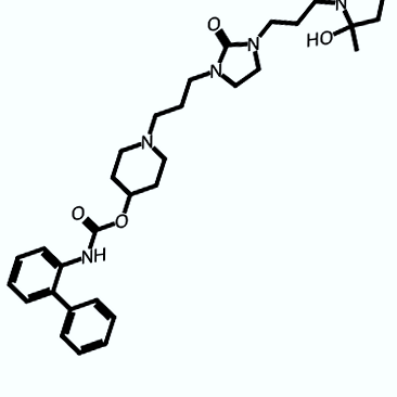 CC1(O)CCCN1CCCN1CCN(CCCN2CCC(OC(=O)Nc3ccccc3-c3ccccc3)CC2)C1=O